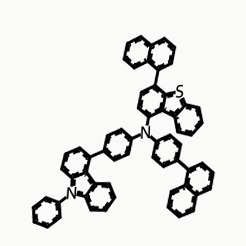 c1ccc(-n2c3ccccc3c3c(-c4ccc(N(c5ccc(-c6cccc7ccccc67)cc5)c5ccc(-c6cccc7ccccc67)c6sc7ccccc7c56)cc4)cccc32)cc1